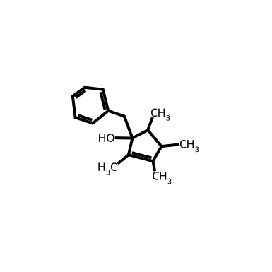 CC1=C(C)C(O)(Cc2ccccc2)C(C)C1C